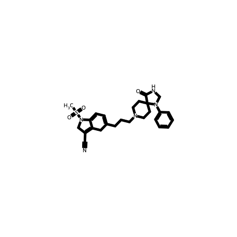 CS(=O)(=O)N1CC(C#N)=C2CC(CCCN3CCC4(CC3)C(=O)NCN4c3ccccc3)=CC=C21